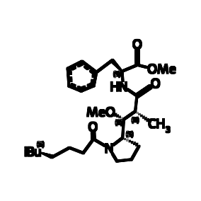 CC[C@H](C)CCCC(=O)N1CCC[C@H]1[C@H](OC)[C@@H](C)C(=O)N[C@@H](Cc1ccccc1)C(=O)OC